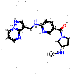 CN[C@H]1CCN(C(=O)c2ccc(NCc3cnn4cccnc34)nc2)C1